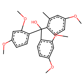 COc1ccc(C(O)(c2ccc(OC)cc2OC)c2ccc(OC)cc2OC)c(C)c1